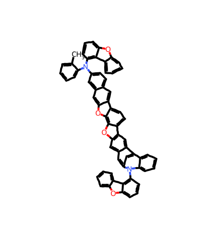 Cc1ccccc1N(c1ccc2cc3c(cc2c1)oc1c3ccc2c3cc4c5cc(cc4cc3oc21)N(c1cccc2oc3ccccc3c12)c1ccccc1-5)c1cccc2oc3ccccc3c12